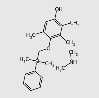 CNC.Cc1cc(O)c(C)c(C)c1OC[Si](C)(C)c1ccccc1